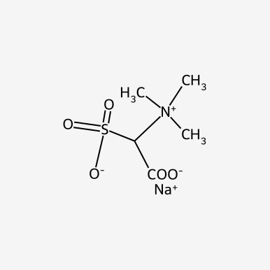 C[N+](C)(C)C(C(=O)[O-])S(=O)(=O)[O-].[Na+]